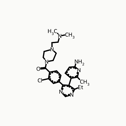 CCc1ncnc(-c2ccc(C(=O)N3CCN(CCN(C)C)CC3)c(Cl)c2)c1-c1ccc(N)nc1C